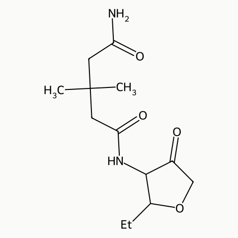 CCC1OCC(=O)C1NC(=O)CC(C)(C)CC(N)=O